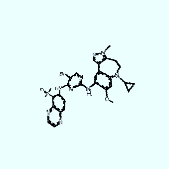 COc1cc2c(cc1Nc1ncc(Br)c(Nc3ccc4nccnc4c3P(C)(C)=O)n1)-c1cnn(C)c1CCN2C1CC1